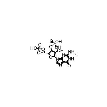 Nc1nc2c(ncn2[C@@H]2O[C@H](COP(=O)(O)O)[C@@H](OP(=O)(O)O)[C@H]2O)c(=O)[nH]1